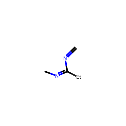 C=N/C(CC)=N\C